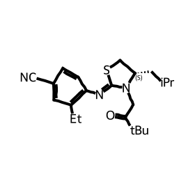 CCc1cc(C#N)ccc1N=C1SC[C@H](CC(C)C)N1CC(=O)C(C)(C)C